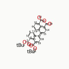 CC(C)(C)OC(=O)c1ccc2c3ccc4c5c(ccc(c6ccc(C(=O)OC(C)(C)C)c1c26)c53)C(=O)OC4=O